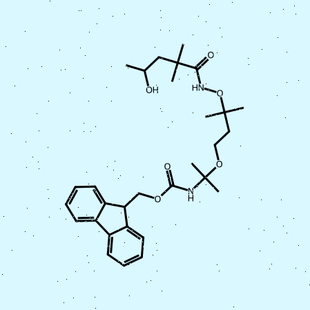 CC(O)CC(C)(C)C(=O)NOC(C)(C)CCOC(C)(C)NC(=O)OCC1c2ccccc2-c2ccccc21